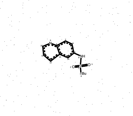 CCCCS(=O)(=O)Nc1ccc2ncccc2c1